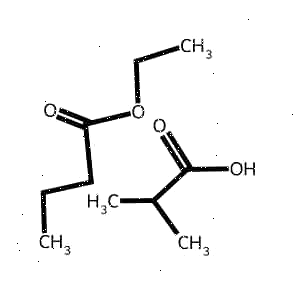 CC(C)C(=O)O.CCCC(=O)OCC